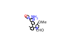 COCC1CCN(C=O)C(c2cccc(C)c2-c2ccc3nc(N)c(N4CCOCC4)cc3c2)C1